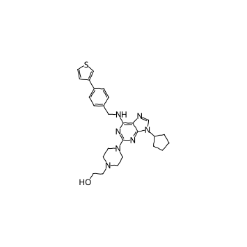 OCCN1CCN(c2nc(NCc3ccc(-c4ccsc4)cc3)c3ncn(C4CCCC4)c3n2)CC1